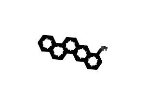 CC(C)c1cccc2cc3c(ccc4c5ccccc5ccc34)cc12